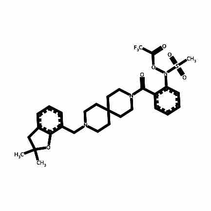 CC1(C)Cc2cccc(CN3CCC4(CC3)CCN(C(=O)c3ccccc3N(OC(=O)C(F)(F)F)S(C)(=O)=O)CC4)c2O1